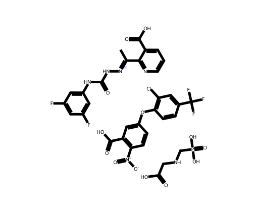 C/C(=N\NC(=O)Nc1cc(F)cc(F)c1)c1ncccc1C(=O)O.O=C(O)CNCP(=O)(O)O.O=C(O)c1cc(Oc2ccc(C(F)(F)F)cc2Cl)ccc1[N+](=O)[O-]